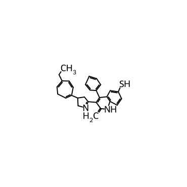 C=C1Nc2ccc(S)cc2C(c2ccccc2)=C1C1=NCC(C2=CCC=C(CC)C=C2)C1